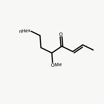 CC=CC(=O)C(CCCCCCCC)OC